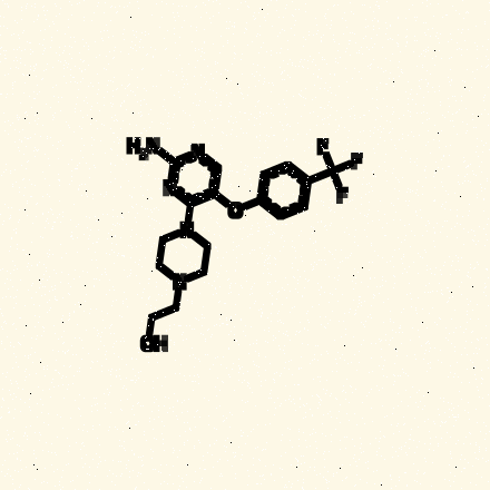 Nc1ncc(Oc2ccc(C(F)(F)F)cc2)c(N2CCN(CCO)CC2)n1